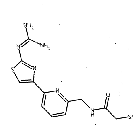 CSCC(=O)NCc1cccc(-c2csc(N=C(N)N)n2)n1